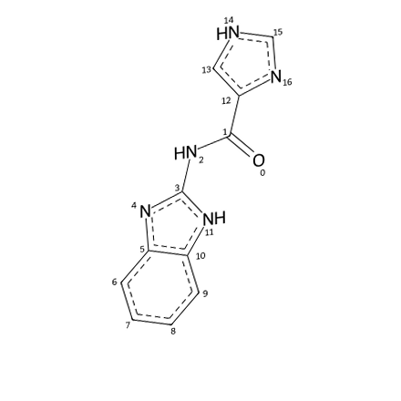 O=C(Nc1nc2ccccc2[nH]1)c1c[nH]cn1